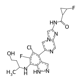 CC(CCO)Nc1c(F)c(Cl)c(-c2cn3cc(NC(=O)C4CC4F)nc3cn2)c2cn[nH]c12